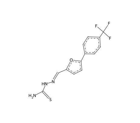 NC(=S)N/N=C/c1ccc(-c2ccc(C(F)(F)F)cc2)o1